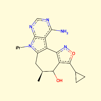 CC(C)n1c2c(c3c(N)ncnc31)-c1noc(C3CC3)c1C(O)[C@@H](C)C2